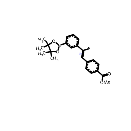 COC(=O)c1ccc(/C=C(\F)c2cccc(B3OC(C)(C)C(C)(C)O3)c2)cc1